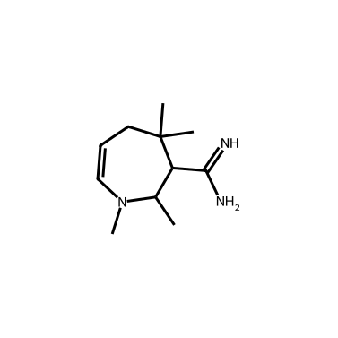 CC1C(C(=N)N)C(C)(C)CC=CN1C